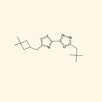 CC(C)(C)Cc1nnc(-c2nc(CC3CC(C)(C)C3)cs2)o1